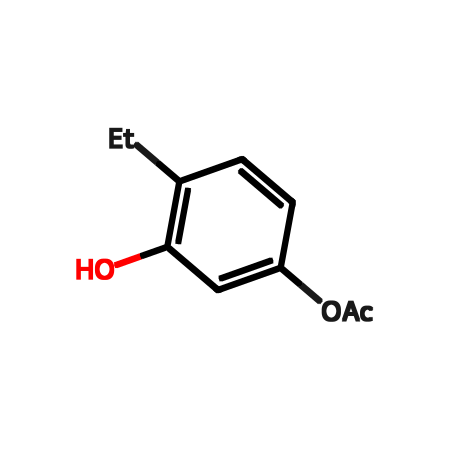 CCc1ccc(OC(C)=O)cc1O